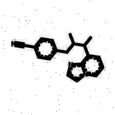 CC(Cc1ccc(C#N)cc1)C(C)c1cccn2ccnc12